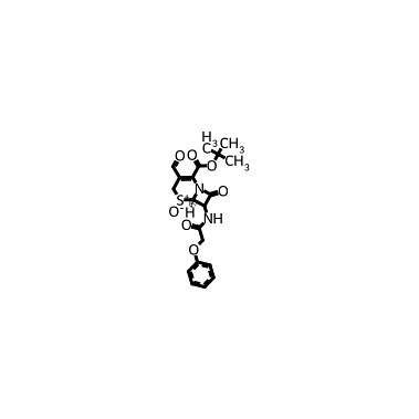 CC(C)(C)OC(=O)C1=C(C=O)C[S+]([O-])[C@@H]2C(NC(=O)COc3ccccc3)C(=O)N12